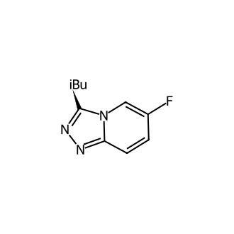 CC[C@H](C)c1nnc2ccc(F)cn12